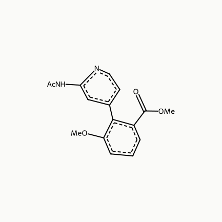 COC(=O)c1cccc(OC)c1-c1ccnc(NC(C)=O)c1